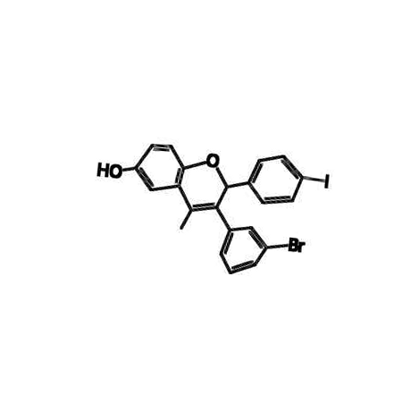 CC1=C(c2cccc(Br)c2)C(c2ccc(I)cc2)Oc2ccc(O)cc21